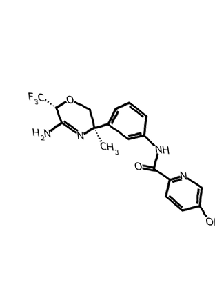 COc1ccc(C(=O)Nc2cccc([C@]3(C)CO[C@@H](C(F)(F)F)C(N)=N3)c2)nc1